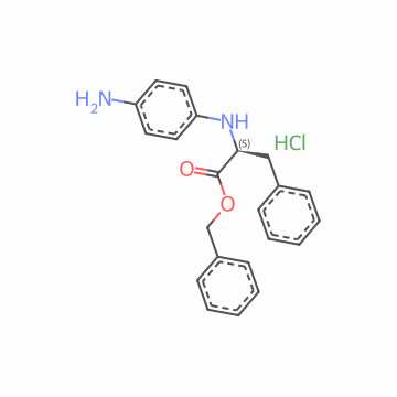 Cl.Nc1ccc(N[C@@H](Cc2ccccc2)C(=O)OCc2ccccc2)cc1